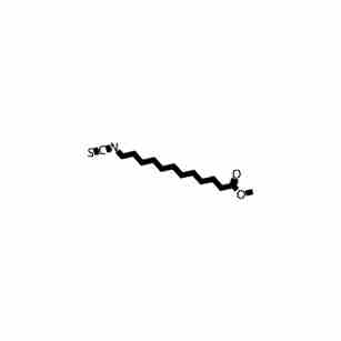 COC(=O)CCCCCCCCCCCN=C=S